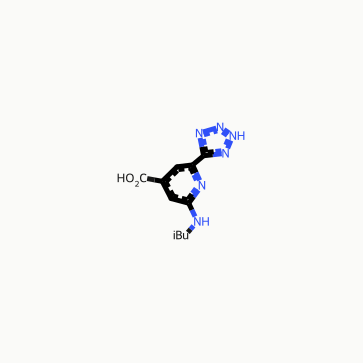 CCC(C)Nc1cc(C(=O)O)cc(-c2nn[nH]n2)n1